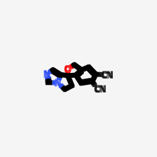 N#Cc1cc2c(cc1C#N)C1(CCn3cncc31)OC2